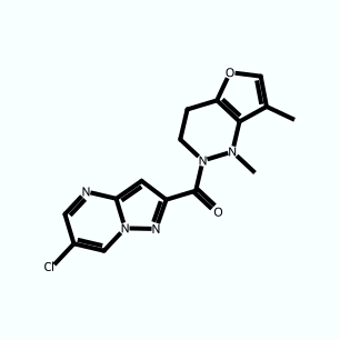 Cc1coc2c1N(C)N(C(=O)c1cc3ncc(Cl)cn3n1)CC2